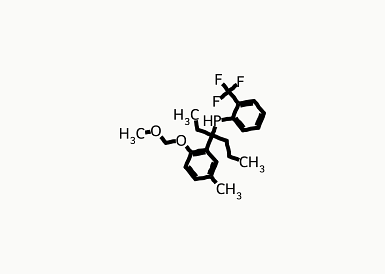 CCCC(CC)(Pc1ccccc1C(F)(F)F)c1cc(C)ccc1OCOC